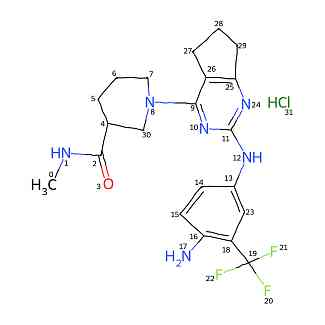 CNC(=O)C1CCCN(c2nc(Nc3ccc(N)c(C(F)(F)F)c3)nc3c2CCC3)C1.Cl